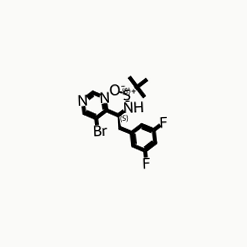 CC(C)(C)[S@@+]([O-])N[C@@H](Cc1cc(F)cc(F)c1)c1ncncc1Br